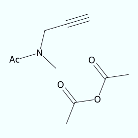 C#CCN(C)C(C)=O.CC(=O)OC(C)=O